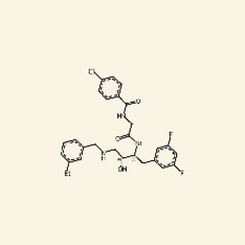 CCc1cccc(CNC[C@@H](O)[C@H](Cc2cc(F)cc(F)c2)NC(=O)CNC(=O)c2ccc(Cl)cc2)c1